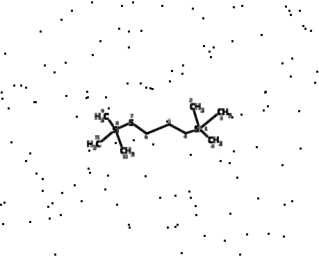 C[Si](C)(C)CCCS[Si](C)(C)C